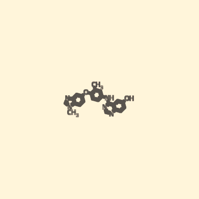 Cc1cc(Nc2ncnc3ccc(O)cc23)ccc1Oc1ccc2c(c1)ncn2C